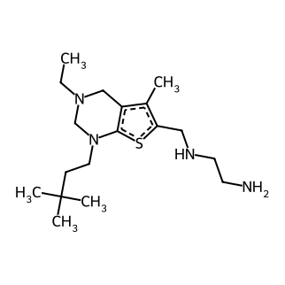 CCN1Cc2c(sc(CNCCN)c2C)N(CCC(C)(C)C)C1